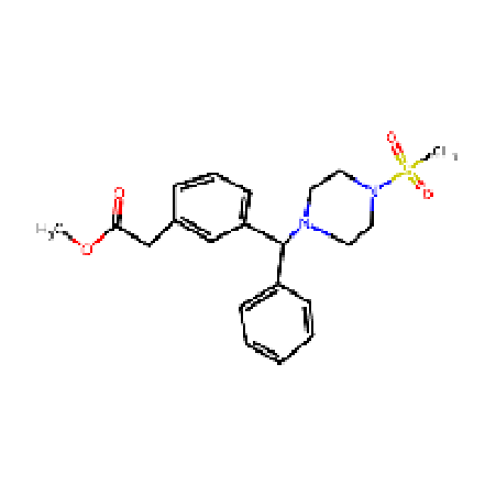 COC(=O)Cc1cccc(C(c2ccccc2)N2CCN(S(C)(=O)=O)CC2)c1